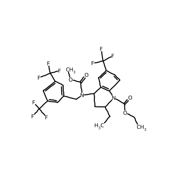 CCOC(=O)N1c2ccc(C(F)(F)F)cc2C(N(Cc2cc(C(F)(F)F)cc(C(F)(F)F)c2)C(=O)OC)CC1CC